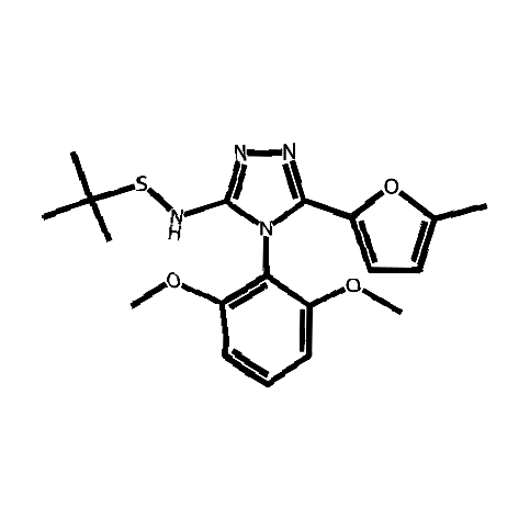 COc1cccc(OC)c1-n1c(NSC(C)(C)C)nnc1-c1ccc(C)o1